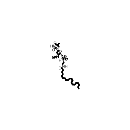 CC/C=C\C/C=C\C/C=C\C/C=C\C/C=C\CCCC(=O)NCCNP(=O)(OC)OC[C@H]1OC(n2cc(C)c(=O)[nH]c2=O)C[C@@H]1N=[N+]=[N-]